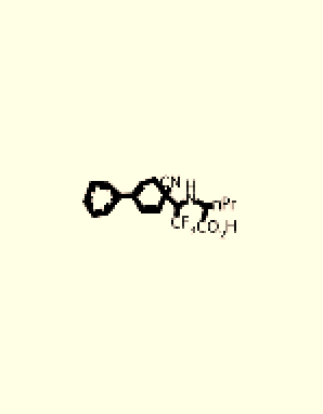 CCCC(NC(C(F)(F)F)C1(C#N)C=CC(c2ccccc2)=CC1)C(=O)O